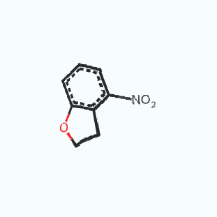 O=[N+]([O-])c1cccc2c1CCO2